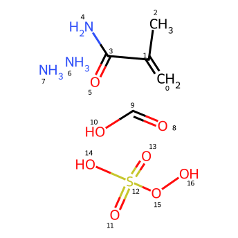 C=C(C)C(N)=O.N.N.O=CO.O=S(=O)(O)OO